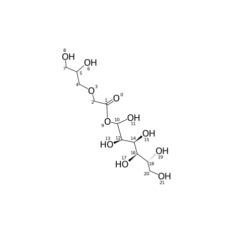 O=C(COCC(O)CO)OC(O)[C@H](O)[C@@H](O)[C@H](O)[C@H](O)CO